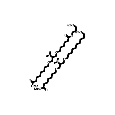 CCCCCCCC/C=C\CCCCCCCCOCC(COCCCCCCC(=O)OC)N(C)C.CCCCCCCC/C=C\COC(=O)CCCCCOCC(COCCCCCCCC(=O)OC)N(C)C